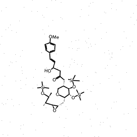 COc1ccc(/C=C/C(O)CC(=O)C[C@H]2CO[C@@H](C[C@@H]3O[C@H]3[C@H](C)[C@H](C)O[Si](C)(C)C)[C@@H](O[Si](C)(C)C)[C@@H]2O[Si](C)(C)C)cc1